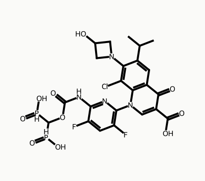 CC(C)c1cc2c(=O)c(C(=O)O)cn(-c3nc(NC(=O)OC([PH](=O)O)[PH](=O)O)c(F)cc3F)c2c(Cl)c1N1CC(O)C1